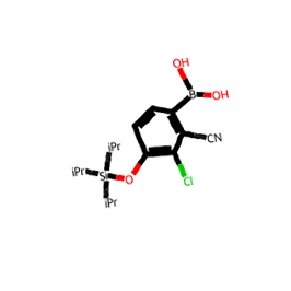 CC(C)[Si](Oc1ccc(B(O)O)c(C#N)c1Cl)(C(C)C)C(C)C